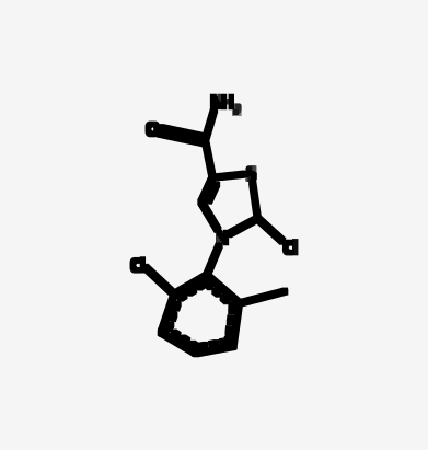 Cc1cccc(Cl)c1N1C=C(C(N)=O)SC1Cl